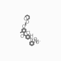 Cc1cc(OCCOC2CCCCO2)ccc1C(=O)c1ccc(Nc2ccccc2[N+](=O)[O-])cc1Cl